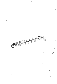 CCCCCCCCCCCCCCCCP=O